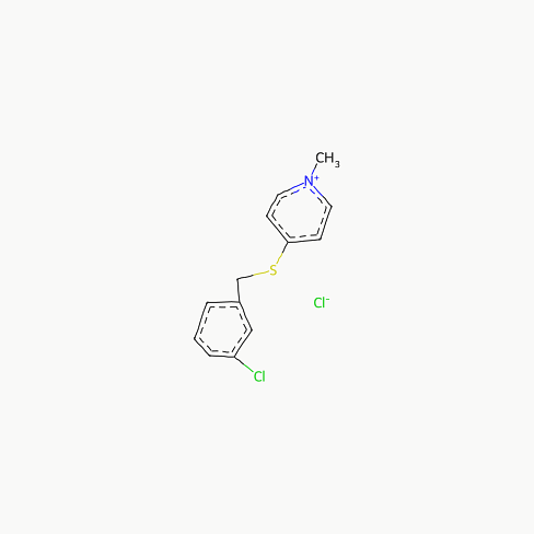 C[n+]1ccc(SCc2cccc(Cl)c2)cc1.[Cl-]